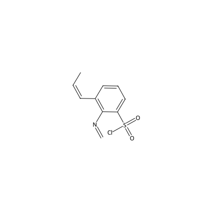 C=Nc1c(/C=C\C)cccc1S(=O)(=O)Cl